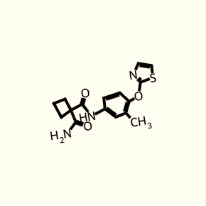 Cc1cc(NC(=O)C2(C(N)=O)CCC2)ccc1Oc1nccs1